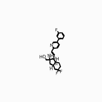 NC1(CO)C[C@@H]2CC(F)(F)CC[C@H]2[C@@H]1C=Cc1ccc(-c2cccc(F)c2)cn1